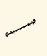 C=C(Cc1ccccc1)NC(=O)CNC(=O)CNC(=O)COCCOCCOCCOCCOCCOCCOCCOCCNC(=O)CCCCCN1C(=O)C=CC1=O